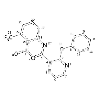 O=c1oc(-c2cccnc2Oc2ccccc2)nc2cccc(C(F)(F)F)c12